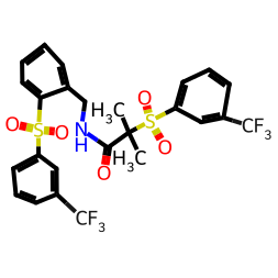 CC(C)(C(=O)NCc1ccccc1S(=O)(=O)c1cccc(C(F)(F)F)c1)S(=O)(=O)c1cccc(C(F)(F)F)c1